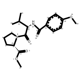 COC(=O)[C@@H]1CCCN1C(=O)[C@@H](NC(=O)c1ccc(OC)cc1)C(C)C